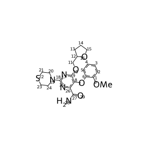 COc1ccccc1Oc1c(OCC2CCCO2)nc(N2CCSCC2)nc1C(N)=O